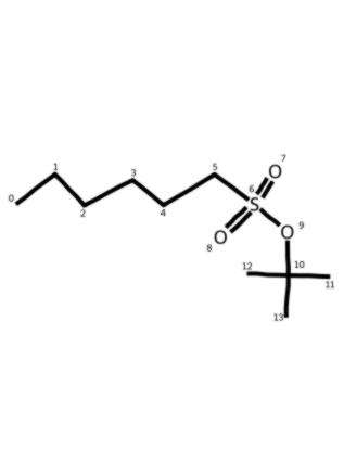 CCCCCCS(=O)(=O)OC(C)(C)C